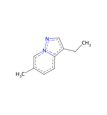 CCc1cnn2cc(C)ccc12